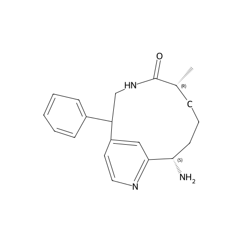 C[C@@H]1CCC[C@H](N)c2cc(ccn2)C(c2ccccc2)CNC1=O